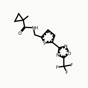 CC1(C(=O)NCc2ccc(-c3noc(C(F)(F)F)n3)s2)CC1